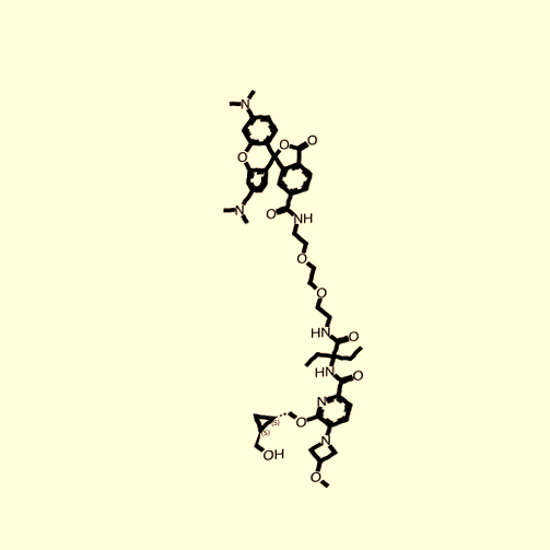 CCC(CC)(NC(=O)c1ccc(N2CC(OC)C2)c(OC[C@H]2C[C@@H]2CO)n1)C(=O)NCCOCCOCCNC(=O)c1ccc2c(c1)C1(OC2=O)c2ccc(N(C)C)cc2Oc2cc(N(C)C)ccc21